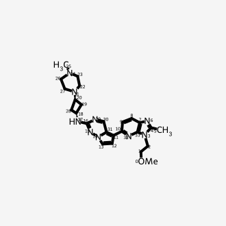 COCCn1c(C)nc2ccc(-c3ccn4nc(N[C@H]5C[C@H](N6CCN(C)CC6)C5)ncc34)nc21